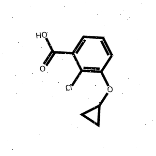 O=C(O)c1cccc(OC2CC2)c1Cl